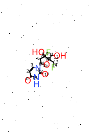 O=c1ccn([C@H]2C[C@](O)(F)[C@](CO)(CF)O2)c(=O)[nH]1